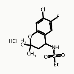 CCS(=O)(=O)NC1CC(C)(C)Oc2cc(Cl)c(F)cc21.Cl